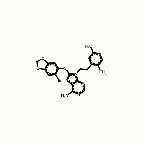 Cc1ccc(C)c(CCn2c(Sc3cc4c(cc3Br)OCO4)nc3c(N)ncnc32)c1